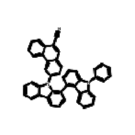 N#Cc1cc2ccc(-n3c4ccccc4c4cccc(-c5cccc6c5c5ccccc5n6-c5ccccc5)c43)cc2c2ccccc12